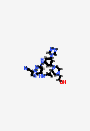 N#Cc1cnc2c(NC3CC3)cc(Nc3cc(N4CCN(CCO)CC4)cc(-n4cnnc4)c3)nn12